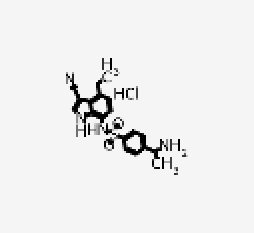 CCc1ccc(NS(=O)(=O)c2ccc(C(C)N)cc2)c2[nH]cc(C#N)c12.Cl